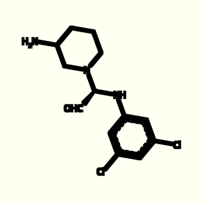 NC1CCCN([C@H](C=O)Nc2cc(Cl)cc(Cl)c2)C1